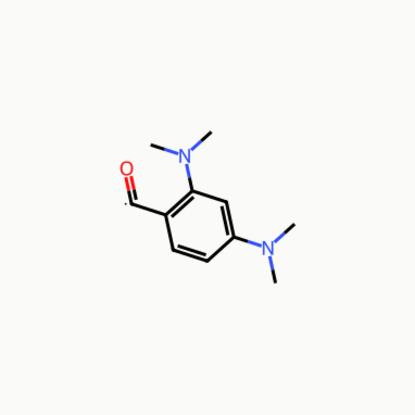 CN(C)c1ccc([C]=O)c(N(C)C)c1